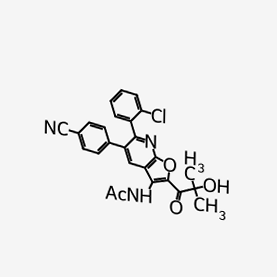 CC(=O)Nc1c(C(=O)C(C)(C)O)oc2nc(-c3ccccc3Cl)c(-c3ccc(C#N)cc3)cc12